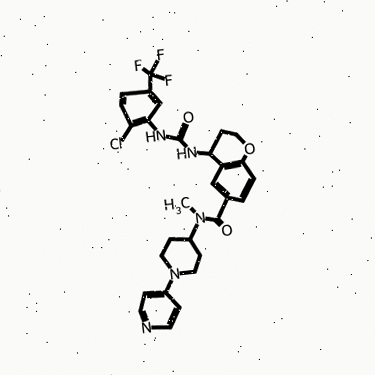 CN(C(=O)c1ccc2c(c1)C(NC(=O)Nc1cc(C(F)(F)F)ccc1Cl)CCO2)C1CCN(c2ccncc2)CC1